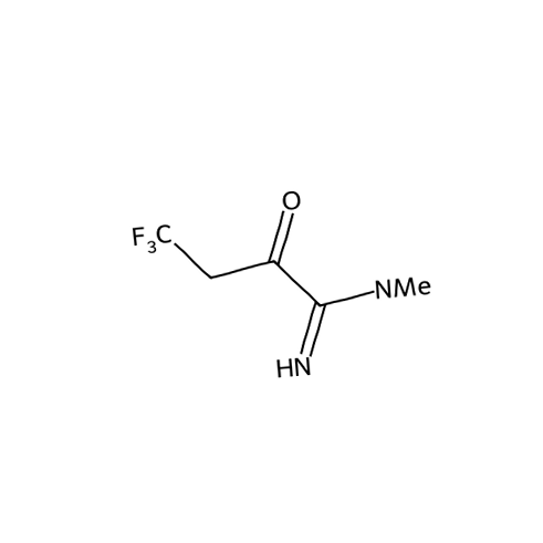 CNC(=N)C(=O)CC(F)(F)F